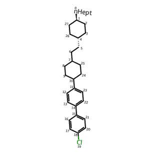 CCCCCCC[C@H]1CC[C@H](CCC2CCC(c3ccc(-c4ccc(Cl)cc4)cc3)CC2)CC1